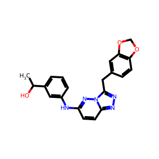 CC(O)c1cccc(Nc2ccc3nnc(Cc4ccc5c(c4)OCO5)n3n2)c1